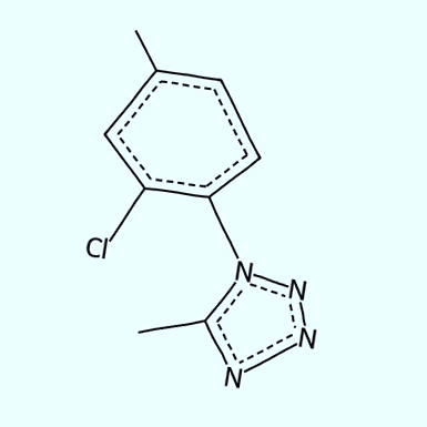 Cc1ccc(-n2nnnc2C)c(Cl)c1